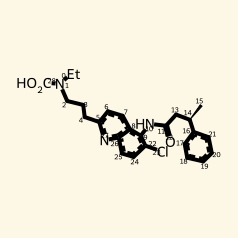 CCN(CCCc1ccc2c(NC(=O)C[C@@H](C)c3ccccc3)c(Cl)ccc2n1)C(=O)O